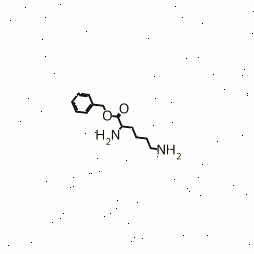 NCCCCC(N)C(=O)OCc1ccccc1